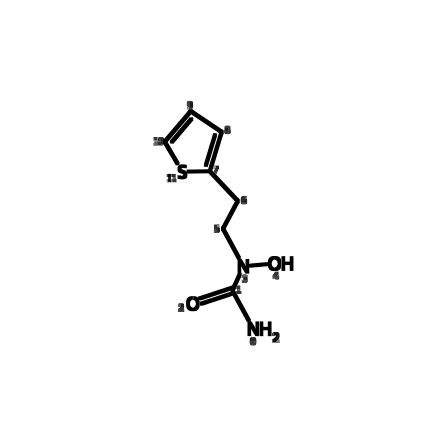 NC(=O)N(O)CCc1cccs1